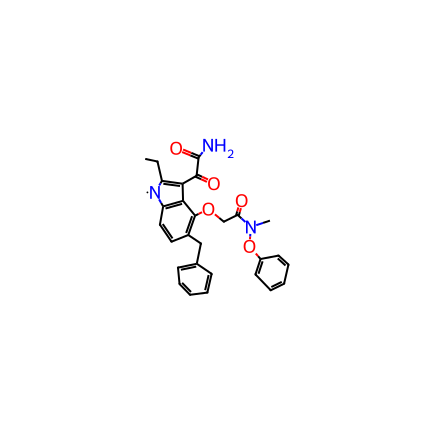 CCC1=C(C(=O)C(N)=O)c2c(ccc(Cc3ccccc3)c2OCC(=O)N(C)Oc2ccccc2)[N]1